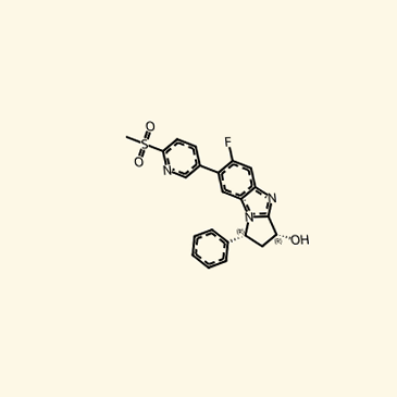 CS(=O)(=O)c1ccc(-c2cc3c(cc2F)nc2n3[C@@H](c3ccccc3)C[C@H]2O)cn1